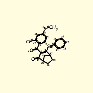 CSc1ccc(C(=O)C2=C(Sc3ccccc3)C3CCC(C3)C2=O)c(Cl)c1